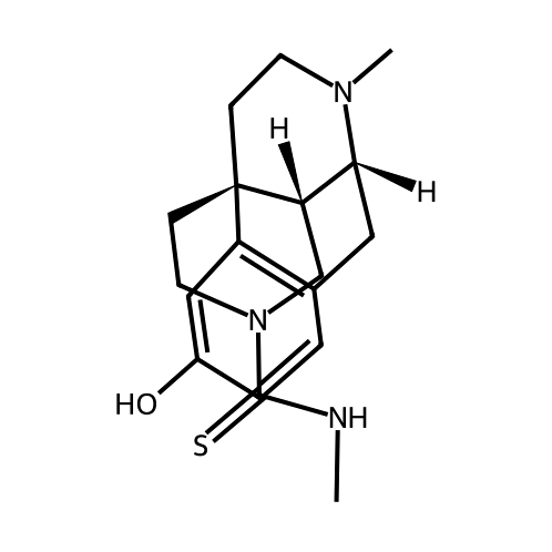 CNC(=S)N1CC[C@]23CCN(C)[C@H](Cc4ccc(O)cc42)[C@@H]3C1